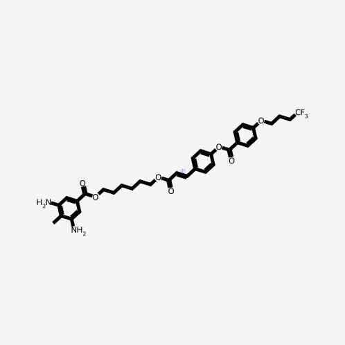 Cc1c(N)cc(C(=O)OCCCCCCOC(=O)/C=C/c2ccc(OC(=O)c3ccc(OCCCC(F)(F)F)cc3)cc2)cc1N